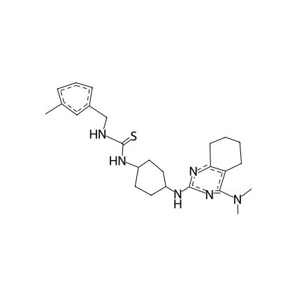 Cc1cccc(CNC(=S)NC2CCC(Nc3nc4c(c(N(C)C)n3)CCCC4)CC2)c1